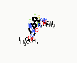 CC(C)(C)OC(=O)Nc1sc2c(F)ccc(-c3c(F)cc4c5c3c(F)nn5CCC3CN(C(=O)OC(C)(C)C)CCN3C4=O)c2c1C#N